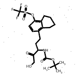 CC(C)(C)OC(=O)NC(CCc1ccc(OS(=O)(=O)C(F)(F)F)c2c1CCCC2)C(=O)CO